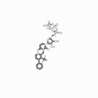 O=c1ccn([C@@H]2O[C@H](COP(=O)(O)OP(=O)(O)OP(=O)(O)O)C(O)[C@@H]2O)c(=O)n1Cc1nccc(-c2ccccc2)c1C(F)(F)F